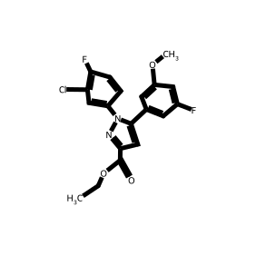 CCOC(=O)c1cc(-c2cc(F)cc(OC)c2)n(-c2ccc(F)c(Cl)c2)n1